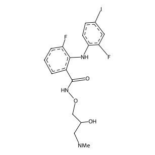 CNCC(O)CONC(=O)c1cccc(F)c1Nc1ccc(I)cc1F